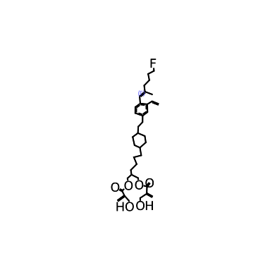 C=Cc1cc(CCC2CCC(CCCCC(COC(=O)C(=C)CO)COC(=O)C(=C)CO)CC2)ccc1/C=C(\C)CCCCF